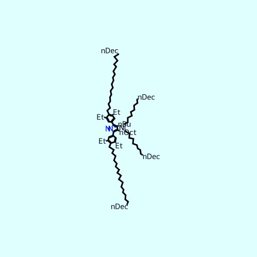 CCCCCCCCCCCCCCCCCCCCCCCCCCCCc1c(CC)cc(C2=C(CCCC)C(CCCCCCCC)=C(c3cc(CC)c(CCCCCCCCCCCCCCCCCCCCCCCCCCCC)c(CC)c3)[N+]2=[N-])cc1CC.CCCCCCCCCCCCCCCCCC[CH2][Ni][CH2]CCCCCCCCCCCCCCCCCC